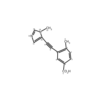 Cc1ccc(C(=O)O)cc1C#Cc1cncn1C